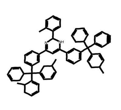 Cc1ccccc1C1N=C(c2cccc(C(C3=CC=CC(C)C3)(C3=CC=CCC3C)C3C=CC=CC3)c2)C=C(c2cccc(C(C3=CCC(C)C=C3)(c3cc#ccc3)C3C=CC=CC3)c2)N1